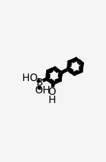 OB(O)c1ccc(-c2ccccc2)cc1O